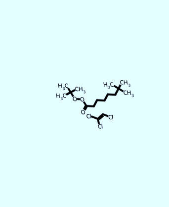 CC(C)(C)CCCCCC(=O)OOC(C)(C)C.ClC=C(Cl)Cl